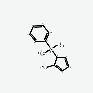 CCCCC1=CC=C[C]1[Si](C)(C)c1ccccc1